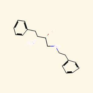 N[C@H](Cc1ccccc1)[C@@H](O)CNCCc1ccccc1